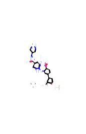 COc1cc(-c2ccc3c(c2)Nc2ccc(C(=O)NCc4ccncc4)cc2NC3=O)ccc1O